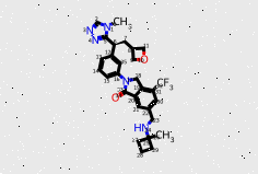 Cn1cnnc1[C@@H](CC1COC1)c1cccc(N2Cc3c(cc(CNC4(C)CCC4)cc3C(F)(F)F)C2=O)c1